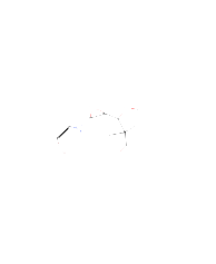 CC(C)(C)OC(C1OC1N/C=C\Br)C(C)(C)CO